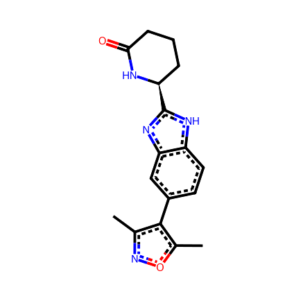 Cc1noc(C)c1-c1ccc2[nH]c([C@@H]3CCCC(=O)N3)nc2c1